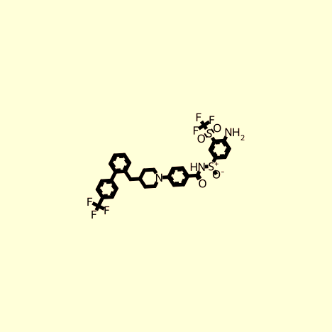 Nc1ccc([S+]([O-])NC(=O)c2ccc(N3CCC(Cc4ccccc4-c4ccc(C(F)(F)F)cc4)CC3)cc2)cc1S(=O)(=O)C(F)(F)F